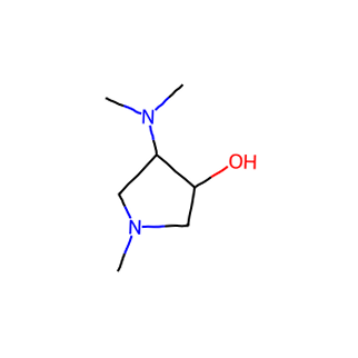 CN1CC(O)C(N(C)C)C1